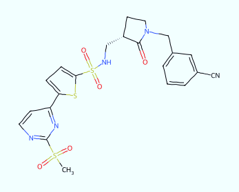 CS(=O)(=O)c1nccc(-c2ccc(S(=O)(=O)NC[C@@H]3CCN(Cc4cccc(C#N)c4)C3=O)s2)n1